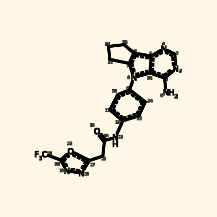 Nc1ncnc2c3c(n(-c4ccc(NC(=O)Cc5nnc(C(F)(F)F)o5)cc4)c12)CCC3